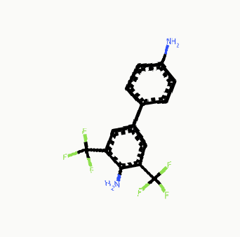 Nc1ccc(-c2cc(C(F)(F)F)c(N)c(C(F)(F)F)c2)cc1